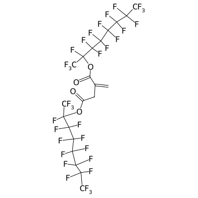 C=C(CC(=O)OC(F)(C(F)(F)F)C(F)(F)C(F)(F)C(F)(F)C(F)(F)C(F)(F)C(F)(F)F)C(=O)OC(F)(C(F)(F)F)C(F)(F)C(F)(F)C(F)(F)C(F)(F)C(F)(F)C(F)(F)F